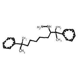 CC(C)(CCCCCC(NN)C(C)(C)c1ccccc1)c1ccccc1